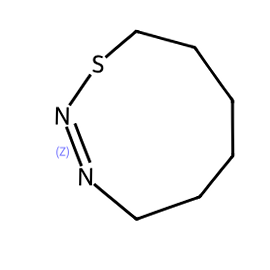 C1CCCS/N=N\CC1